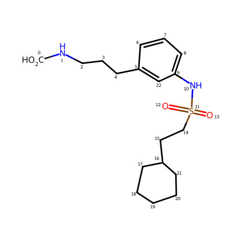 O=C(O)NCCCc1cccc(NS(=O)(=O)CCC2CCCCC2)c1